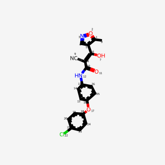 Cc1oncc1/C(O)=C(\C#N)C(=O)Nc1ccc(Oc2ccc(Cl)cc2)cc1